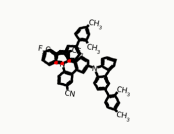 Cc1ccc(-c2ccc3c(c2)c2ccccc2n3-c2ccc(-c3ccc(C(F)(F)F)cc3C(F)(F)F)c(-c3cc(C#N)ccc3-n3c4ccccc4c4cc(-c5ccc(C)cc5C)ccc43)c2)c(C)c1